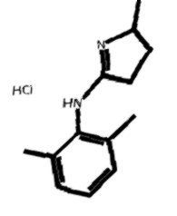 Cc1cccc(C)c1NC1=NC(C)CC1.Cl